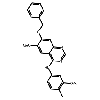 COc1cc2c(Nc3ccc(C)c(OC(C)=O)c3)ncnc2cc1OCc1ccccn1